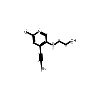 CC(C)(C)C#Cc1cc(Cl)ncc1NCCO